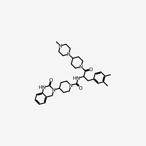 Cc1ccc(CC(NC(=O)N2CCC(N3Cc4ccccc4NC3=O)CC2)C(=O)N2CCC(N3CCN(C)CC3)CC2)cc1C